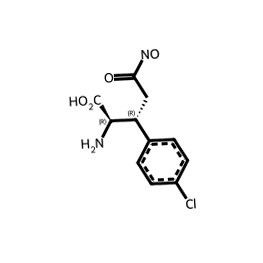 N[C@@H](C(=O)O)[C@H](CC(=O)N=O)c1ccc(Cl)cc1